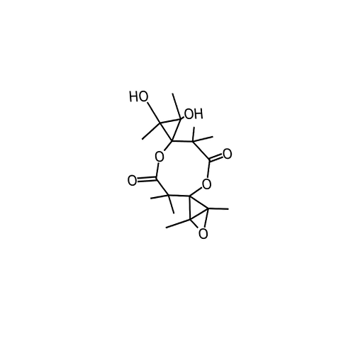 CC1(C)C(=O)OC2(C(C)(C)C(=O)OC13C(C)(O)C3(C)O)C1(C)OC12C